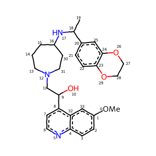 COc1ccc2nccc(C(O)CN3CCCC(NC(C)c4ccc5c(c4)OCCO5)CC3)c2c1